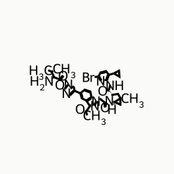 CC(=O)c1nn(CC(=O)N2[C@H](C(=O)Nc3nc(Br)ccc3C3CC3)C[C@@]3(C)C[C@@H]23)c2ccc(-c3cnc(OC(=O)[C@@H](N)C(C)C)nc3)cc12